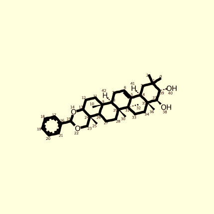 CC1(C)C[C@@H]2C3=CC[C@@H]4[C@@]5(C)CCC6OC(c7ccccc7)OC[C@@]6(C)C5CC[C@@]4(C)[C@]3(C)CC[C@@]2(C)[C@H](O)[C@H]1O